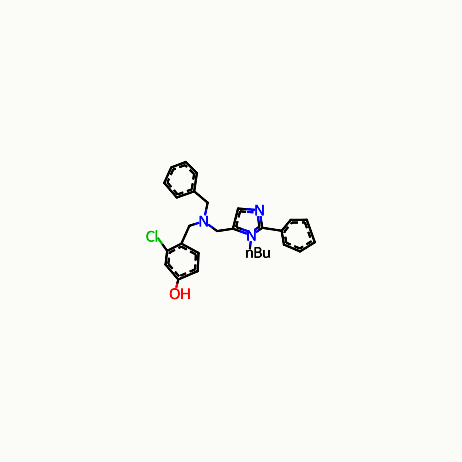 CCCCn1c(CN(Cc2ccccc2)Cc2ccc(O)cc2Cl)cnc1-c1ccccc1